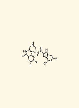 CN(C(=O)c1cc2c(Cl)cc(F)cc2[nH]1)[C@H]1CNCc2[nH]c(=O)c3cc(F)c(F)cc3c21